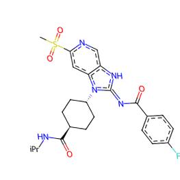 CC(C)NC(=O)[C@H]1CC[C@H](n2/c(=N/C(=O)c3ccc(F)cc3)[nH]c3cnc(S(C)(=O)=O)cc32)CC1